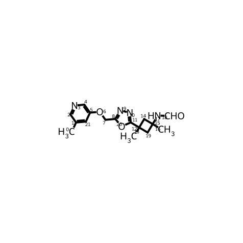 Cc1cncc(OCc2nnc(C3(C)CC(C)(NC=O)C3)o2)c1